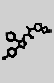 CN(C(=O)Cn1cnc(-c2ccc(Cl)cc2)c1-c1ccncc1)C1COC2(CNC2)C1